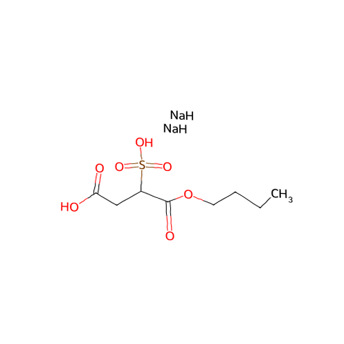 CCCCOC(=O)C(CC(=O)O)S(=O)(=O)O.[NaH].[NaH]